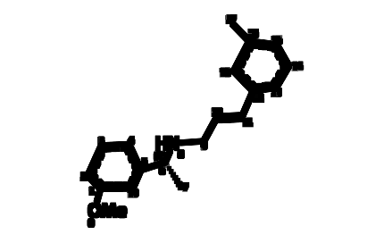 COc1cccc([C@@H](C)NCC=Cc2cccc(C)c2)c1